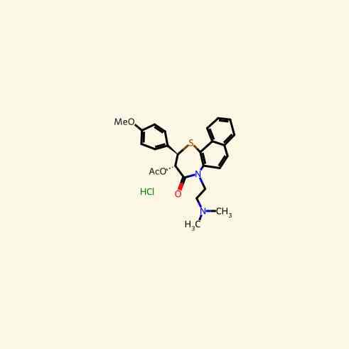 COc1ccc([C@H]2Sc3c(ccc4ccccc34)N(CCN(C)C)C(=O)[C@@H]2OC(C)=O)cc1.Cl